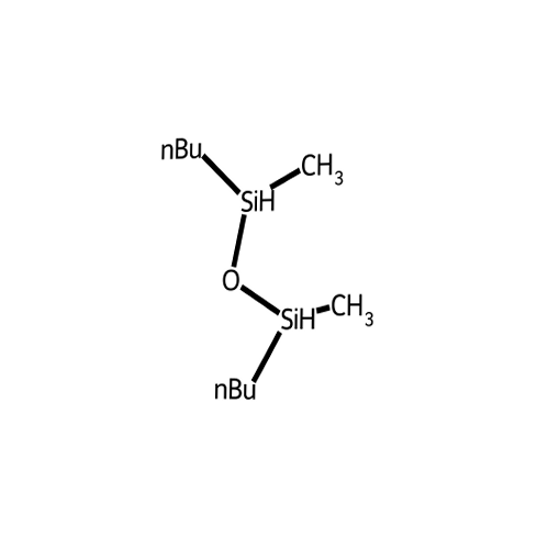 CCCC[SiH](C)O[SiH](C)CCCC